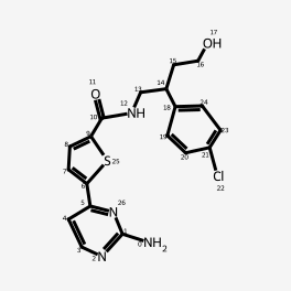 Nc1nccc(-c2ccc(C(=O)NCC(CCO)c3ccc(Cl)cc3)s2)n1